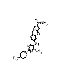 Cc1nc(N2CCC(C(F)(F)F)CC2)ncc1Nc1ccc(CN2CC(C(N)=O)CC2=O)cc1